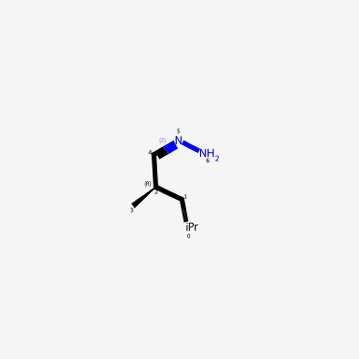 CC(C)C[C@@H](C)/C=N\N